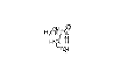 Cc1nc(C(CCCc2c[nH]c3ccc(-n4cnnc4)cc23)CC(c2ccccc2)N2CCNCC2)no1